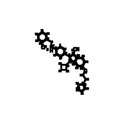 N#Cc1c(-c2ccc(NCc3ccccc3C(F)(F)F)cc2)n(C2CCC2)c2cc(OCCn3ccnc3)ccc12